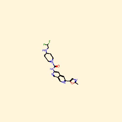 Cc1ncc(-c2cc3cc(NC(=O)N4CCC(NCC(F)F)CC4)ncc3cn2)o1